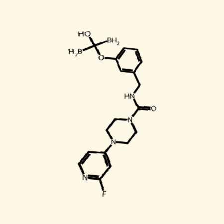 BC(B)(O)Oc1cccc(CNC(=O)N2CCN(c3ccnc(F)c3)CC2)c1